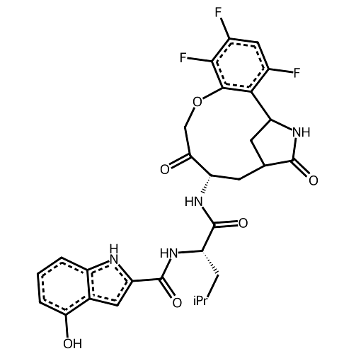 CC(C)C[C@H](NC(=O)c1cc2c(O)cccc2[nH]1)C(=O)N[C@H]1CC2CC(NC2=O)c2c(F)cc(F)c(F)c2OCC1=O